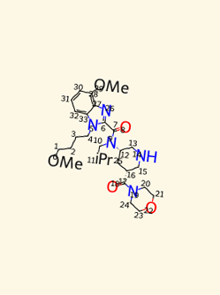 COCCCCn1c(C(=O)N(CC(C)C)[C@@H]2CNC[C@H](C(=O)N3CCOCC3)C2)nc2c(OC)cccc21